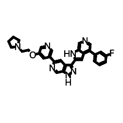 Fc1cccc(-c2cncc3[nH]c(-c4n[nH]c5cnc(-c6cncc(OCCN7CCCC7)c6)cc45)cc23)c1